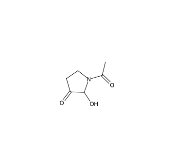 CC(=O)N1CCC(=O)C1O